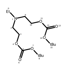 CCN(CCOC(=O)OC(C)(C)C)CCOC(=O)OC(C)(C)C